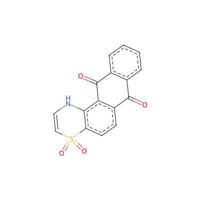 O=C1c2ccccc2C(=O)c2c1ccc1c2NC=CS1(=O)=O